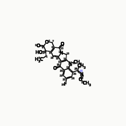 CCC1(O)C(=O)OCc2c1cc1n(c2=O)Cc2c-1c(=O)c1cc(F)cc(/C(C)=N\OC)c1n2C